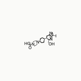 O=C(O)N1CCN(c2ccc(-c3cc4ncc(I)n4nc3CO)cc2)CC1